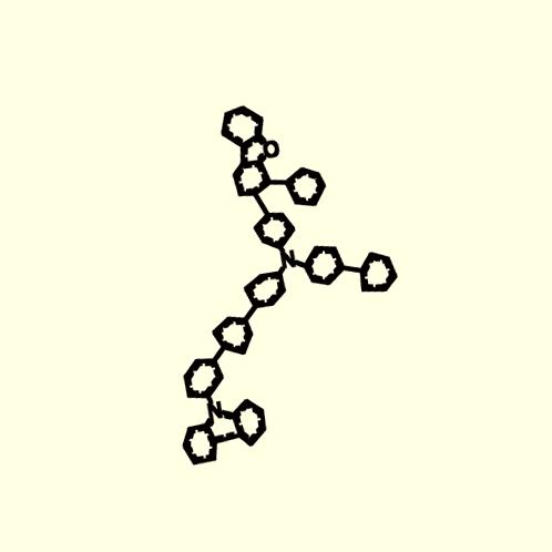 c1ccc(-c2ccc(N(c3ccc(-c4ccc(-c5cccc(-n6c7ccccc7c7ccccc76)c5)cc4)cc3)c3ccc(-c4ccc5c(oc6ccccc65)c4-c4ccccc4)cc3)cc2)cc1